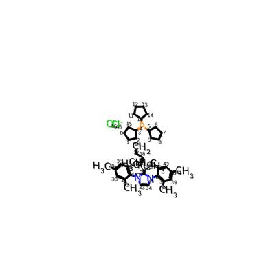 C1CCC(P(C2CCCC2)C2CCCC2)C1.C=C[CH]=[Ru+2]([CH3])([CH3])=[c]1n(-c2c(C)cc(C)cc2C)ccn1-c1c(C)cc(C)cc1C.[Cl-].[Cl-]